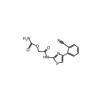 N#Cc1ccccc1-c1csc(NC(=O)COC(N)=O)n1